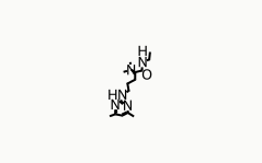 CCNC(=O)C(CCCNc1nc(C)cc(C)n1)N(C)C